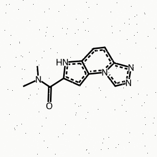 CN(C)C(=O)c1cc2c(ccc3nncn32)[nH]1